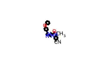 CN(C(=O)c1cn2c(-c3ccc(Oc4ccccc4)cc3)cnc2cn1)c1ccc(C#N)cc1